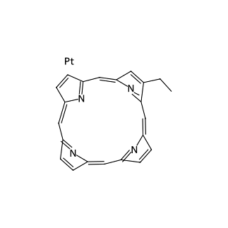 CCC1=CC2=CC3=NC(=CC4=NC(=CC5=NC(=CC1=N2)C=C5)C=C4)C=C3.[Pt]